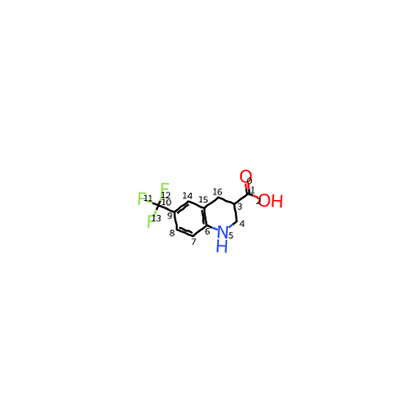 O=C(O)C1CNc2ccc(C(F)(F)F)cc2C1